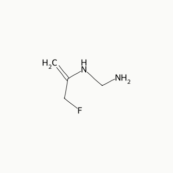 C=C(CF)NCN